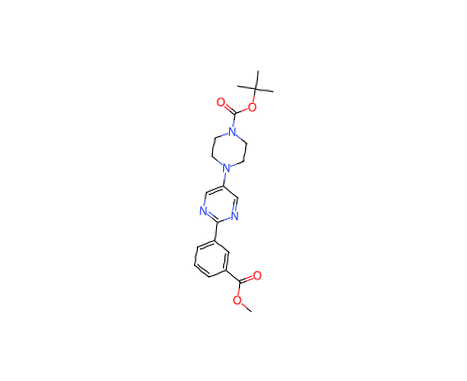 COC(=O)c1cccc(-c2ncc(N3CCN(C(=O)OC(C)(C)C)CC3)cn2)c1